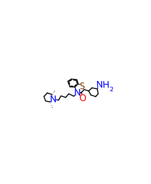 C[C@@H]1CCC[C@H](C)N1CCCCCN1C(=O)C(C2CCCC(N)C2)Sc2ccccc21